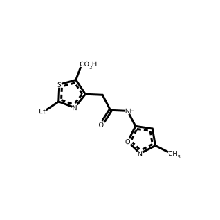 CCc1nc(CC(=O)Nc2cc(C)no2)c(C(=O)O)s1